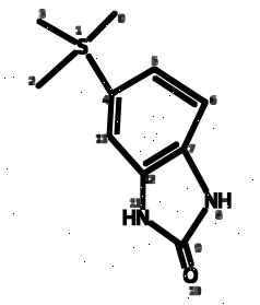 CS(C)(C)c1ccc2[nH]c(=O)[nH]c2c1